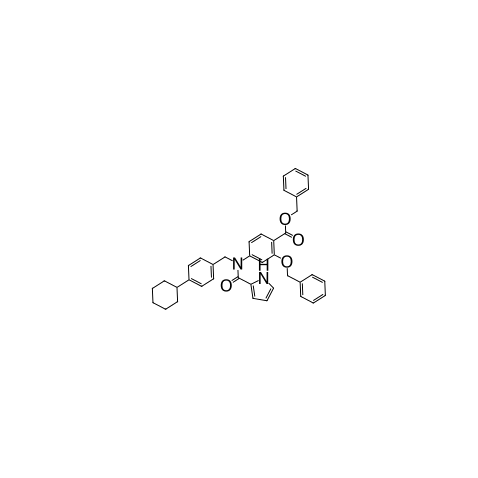 O=C(OCc1ccccc1)c1ccc(N(Cc2ccc(C3CCCCC3)cc2)C(=O)c2ccc[nH]2)cc1OCc1ccccc1